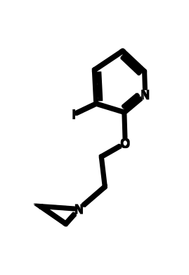 Ic1cccnc1OCCN1CC1